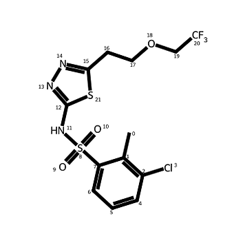 Cc1c(Cl)cccc1S(=O)(=O)Nc1nnc(CCOCC(F)(F)F)s1